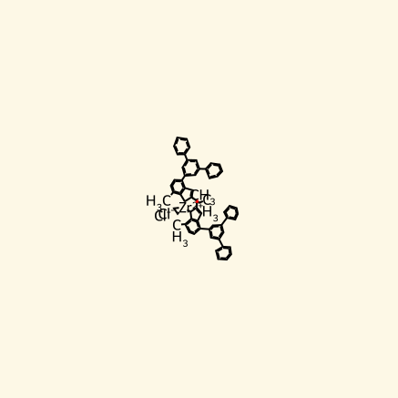 CCC1=Cc2c(-c3cc(-c4ccccc4)cc(-c4ccccc4)c3)ccc(C)c2[CH]1[Zr+2]1([CH]2C(CC)=Cc3c(-c4cc(-c5ccccc5)cc(-c5ccccc5)c4)ccc(C)c32)[CH2][CH2]1.[Cl-].[Cl-]